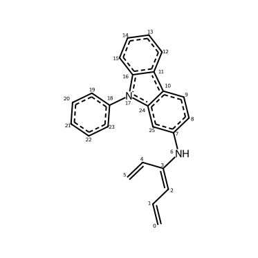 C=C/C=C(\C=C)Nc1ccc2c3ccccc3n(-c3ccccc3)c2c1